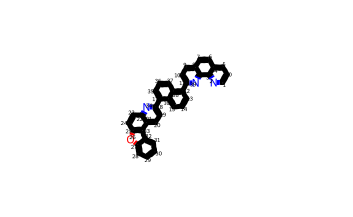 c1cnc2c(c1)ccc1ccc(-c3cccc4c(-c5ccc6c(ccc7oc8ccccc8c76)n5)cccc34)nc12